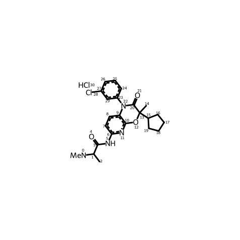 CNC(C)C(=O)Nc1ccc2c(n1)OC(C)(C1CCCC1)C(=O)N2c1cccc(Cl)c1.Cl